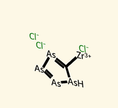 [Cl-].[Cl-].[Cl-].[Zr+3][C]1=[As][As]=[As][AsH]1